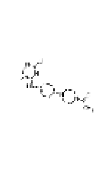 CC(=O)N1CCN(c2ccc(Nc3nc(Cl)ncc3F)cc2)CC1